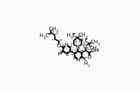 Cc1ncc(-c2cnc(OCCCC(C)C)c(F)c2)c(N2CCC(C)(C)CC2)c1C(OC(C)(C)C)C(=O)O